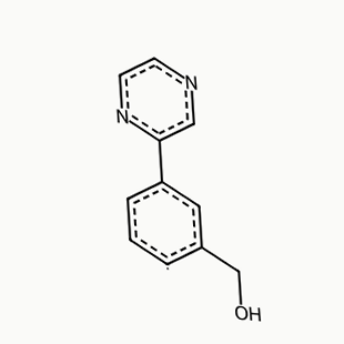 OCc1[c]ccc(-c2cnccn2)c1